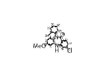 COc1ccc2c(c1)Nc1cc(Cl)ccc1C(=O)N2c1ccccc1C